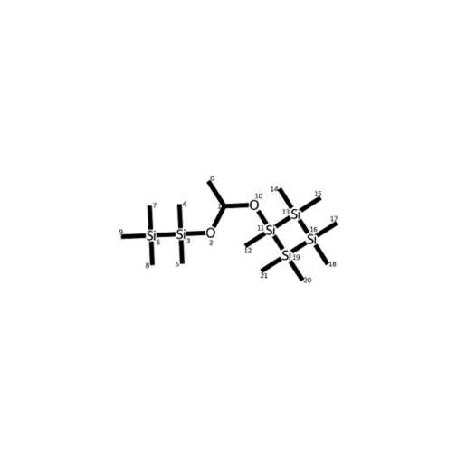 CC(O[Si](C)(C)[Si](C)(C)C)O[Si]1(C)[Si](C)(C)[Si](C)(C)[Si]1(C)C